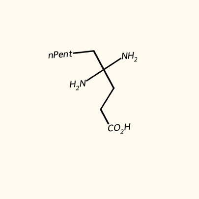 CCCCCCC(N)(N)CCC(=O)O